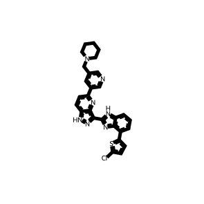 Clc1ccc(-c2cccc3[nH]c(-c4n[nH]c5ccc(-c6cncc(CN7CCCCC7)c6)nc45)nc23)s1